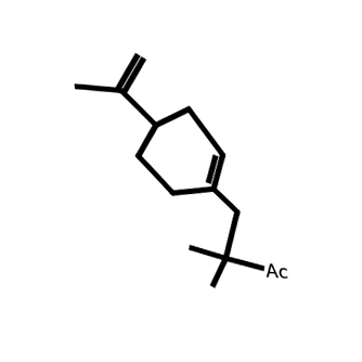 C=C(C)C1CC=C(CC(C)(C)C(C)=O)CC1